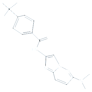 CN(C)c1ccc2nc(NC(=O)c3ccc(C(C)(C)C)cc3)cn2n1